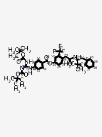 CC(C)(C)OC(=O)/N=C(/NC(=O)OC(C)(C)C)Nc1ccc(C(=O)Oc2ccc(CC(=O)N[C@@H](Cc3ccccc3)C(C)(C)C)c(C(F)(F)F)c2)cc1